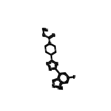 CC(C)(C)OC(=O)N1CCC(c2nc(-c3cc(F)cc4[nH]ncc34)no2)CC1